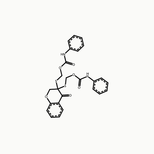 O=C(Nc1ccccc1)OCSC1(SCOC(=O)Nc2ccccc2)COc2ccccc2C1=O